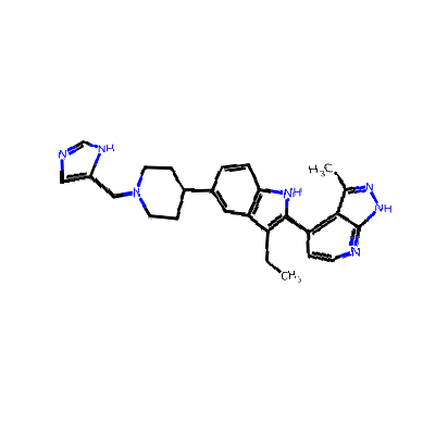 CCc1c(-c2ccnc3[nH]nc(C)c23)[nH]c2ccc(C3CCN(Cc4cnc[nH]4)CC3)cc12